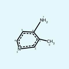 Cc1[c]nccc1N